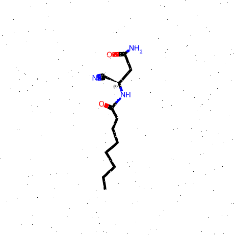 CCCCCCCC(=O)N[C@@H](C#N)CC(N)=O